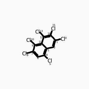 Clc1cc2c(Cl)cc(Cl)c(Cl)c2c(Cl)c1Cl